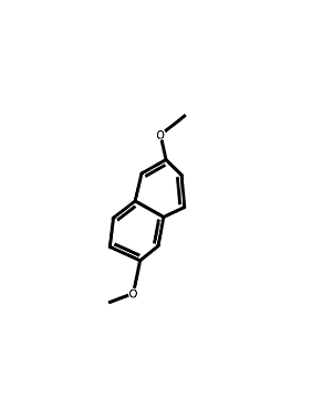 COc1ccc2cc(OC)ccc2c1